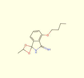 CCCCOc1cccc2c1C(=N)NC21OC(C)O1